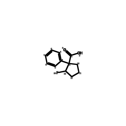 O=C(O)C1(c2ccccc2)CCCC1F